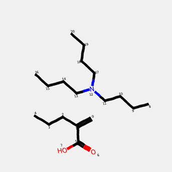 C=C(CCC)C(=O)O.CCCCN(CCCC)CCCC